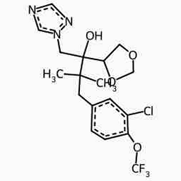 CC(C)(Cc1ccc(OC(F)(F)F)c(Cl)c1)C(O)(Cn1cncn1)C1COCO1